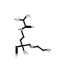 CC(C)C(=O)NCCC(C)(C=O)CNCCO